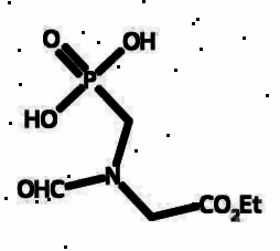 CCOC(=O)CN(C=O)CP(=O)(O)O